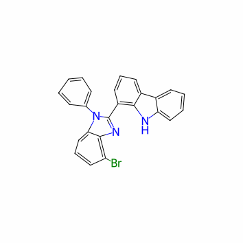 Brc1cccc2c1nc(-c1cccc3c1[nH]c1ccccc13)n2-c1ccccc1